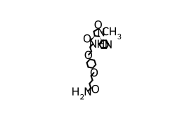 CN1C(=O)C[C@H](C(=O)NCCO[C@H]2CC[C@@H](OCCCC(N)=O)CC2)[C@H]1c1cccnc1